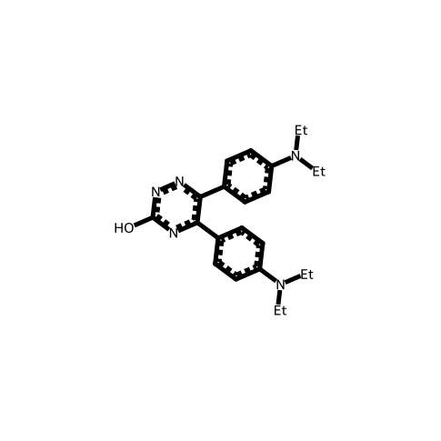 CCN(CC)c1ccc(-c2nnc(O)nc2-c2ccc(N(CC)CC)cc2)cc1